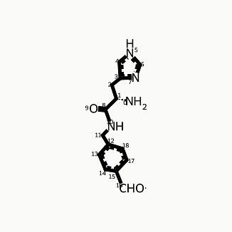 N[C@@H](Cc1c[nH]cn1)C(=O)NCc1ccc([C]=O)cc1